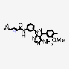 COc1cc(-c2nn(-c3cccc(NC(=O)/C=C/CN(C)C)c3)c3ncnc(N)c23)ccc1C